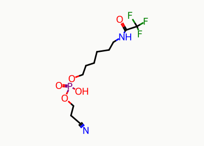 N#CCCOP(=O)(O)OCCCCCCNC(=O)C(F)(F)F